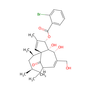 CC1=C[C@]23C(=O)[C@@H](C=C(CO)[C@@H](O)[C@]2(O)[C@H]1OC(=O)c1ccccc1Br)C(C)(C)[C@@H](C)C[C@H]3C